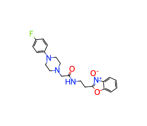 O=C(CN1CCN(c2ccc(F)cc2)CC1)NCCc1oc2ccccc2[n+]1[O-]